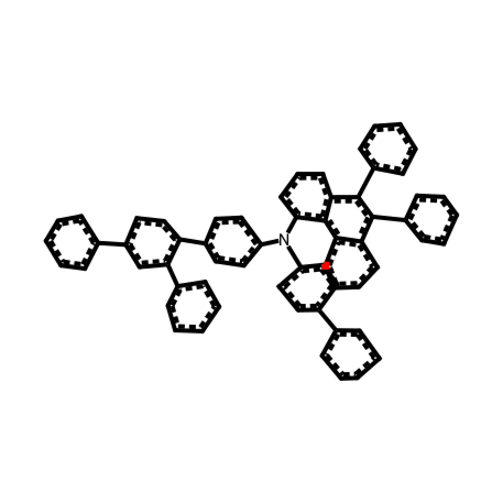 c1ccc(-c2ccc(N(c3ccc(-c4ccc(-c5ccccc5)cc4-c4ccccc4)cc3)c3cccc4c(-c5ccccc5)c(-c5ccccc5)c5ccccc5c34)cc2)cc1